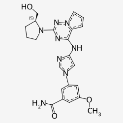 COc1cc(C(N)=O)cc(-n2cnc(Nc3nc(N4CCC[C@H]4CO)nn4cccc34)c2)c1